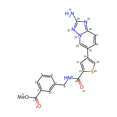 COC(=O)c1cccc(CNC(=O)c2cc(-c3ccc4nc(N)nn4c3)cs2)c1